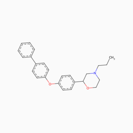 CCCN1CCOC(c2ccc(Oc3ccc(-c4ccccc4)cc3)cc2)C1